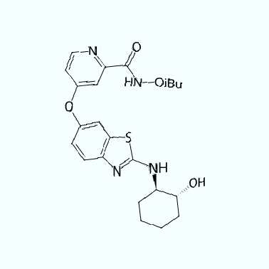 CC(C)CONC(=O)c1cc(Oc2ccc3nc(N[C@@H]4CCCC[C@H]4O)sc3c2)ccn1